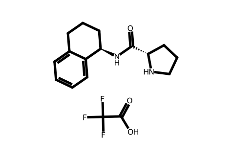 O=C(N[C@@H]1CCCc2ccccc21)[C@@H]1CCCN1.O=C(O)C(F)(F)F